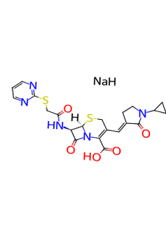 O=C(CSc1ncccn1)N[C@@H]1C(=O)N2C(C(=O)O)=C(/C=C3\CCN(C4CC4)C3=O)CS[C@H]12.[NaH]